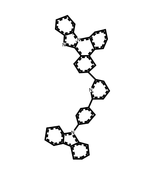 c1cc(-c2ccc(-n3c4ccccc4c4ccccc43)cc2)nc(-c2ccc3c(c2)c2ccccc2n2c4ccccc4nc32)c1